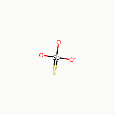 [O-][Sb]([O-])([O-])=[S]